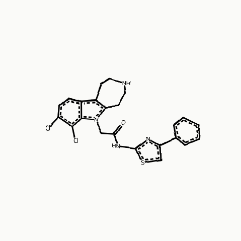 O=C(Cn1c2c(c3ccc(Cl)c(Cl)c31)CCNCC2)Nc1nc(-c2ccccc2)cs1